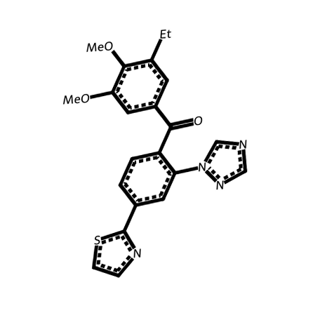 CCc1cc(C(=O)c2ccc(-c3nccs3)cc2-n2cncn2)cc(OC)c1OC